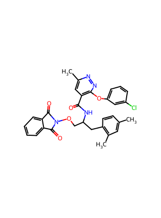 Cc1ccc(CC(CON2C(=O)c3ccccc3C2=O)NC(=O)c2cc(C)nnc2Oc2cccc(Cl)c2)c(C)c1